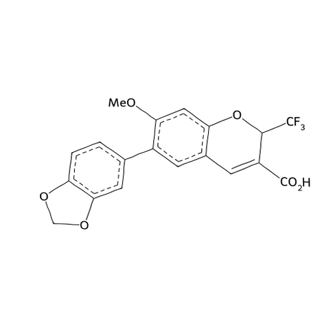 COc1cc2c(cc1-c1ccc3c(c1)OCO3)C=C(C(=O)O)C(C(F)(F)F)O2